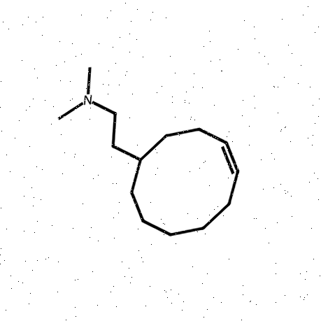 CN(C)CCC1CC/C=C\CCCCC1